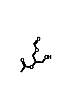 CC(=O)OC(CO)COC=O